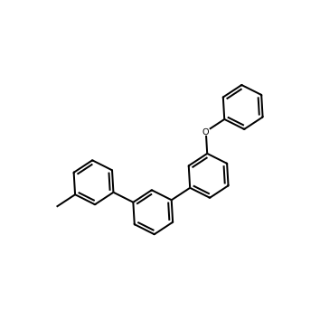 Cc1cccc(-c2cccc(-c3cccc(Oc4ccccc4)c3)c2)c1